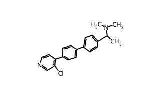 CC(c1ccc(-c2ccc(-c3ccncc3Cl)cc2)cc1)N(C)C